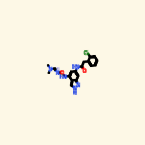 CN(C)/C=N/ONc1cc(NC(=O)Cc2ccccc2Cl)cc2n[nH]cc12